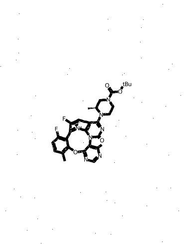 Cc1ccc(F)c2c1oc1ncnc(C)c1n1c(=O)nc(N3CCN(C(=O)OC(C)(C)C)C[C@@H]3C)c3cc(F)c2[n+]([O-])c31